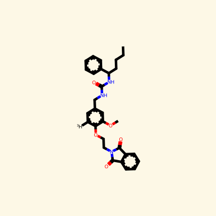 [3H]c1cc(CNC(=O)NC(CCCC)c2ccccc2)cc(OC)c1OCCN1C(=O)c2ccccc2C1=O